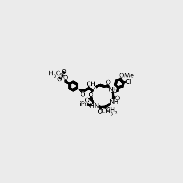 COc1ccc(C[C@H]2NC(=O)/C=C/C[C@@H]([C@H](C)[C@H]3O[C@@H]3c3ccc(COS(C)(=O)=O)cc3)OC(=O)[C@H](CC(C)C)NC(=O)C(C)(C)CNC2=O)cc1Cl